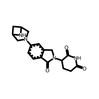 O=C1CCC(N2Cc3cc(N4CC5CC(C4)N5)ccc3C2=O)C(=O)N1